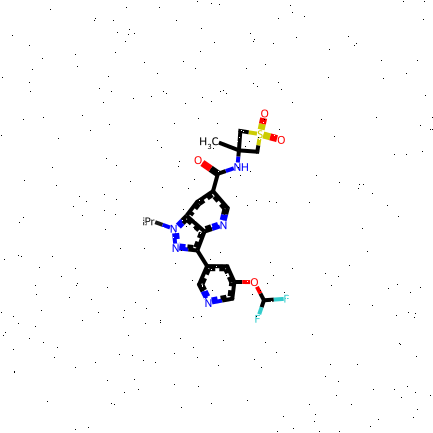 CC(C)n1nc(-c2cncc(OC(F)F)c2)c2ncc(C(=O)NC3(C)CS(=O)(=O)C3)cc21